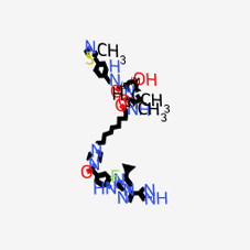 Cc1ncsc1-c1ccc(CNC(=O)[C@@H]2C[C@@H](O)CN2C(=O)[C@@H](NC(=O)CCCCCCCCN2CCN(C(=O)c3ccc(Nc4nc(C5CC5)cn5c(-c6cn[nH]c6)cnc45)c(F)c3)CC2)C(C)(C)C)cc1